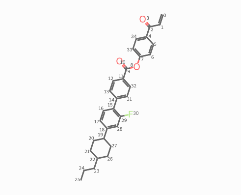 C=CC(=O)c1ccc(OC(=O)c2ccc(-c3ccc(C4CCC(CCC)CC4)cc3F)cc2)cc1